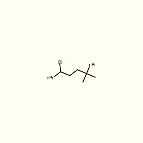 CCCC(O)CCC(C)(C)CCC